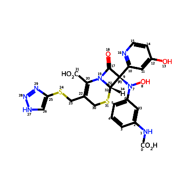 O=C(O)Nc1cccc(N(O)[C@]2(c3cc(O)ccn3)C(=O)N3C(C(=O)O)=C(CSc4c[nH]nn4)CS[C@H]32)c1